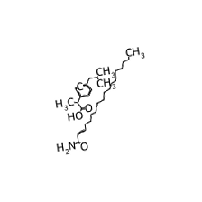 CC(C)Cc1ccc(C(C)C(=O)O)cc1.CCCCCCCCCCCCCCCC=CC(N)=O